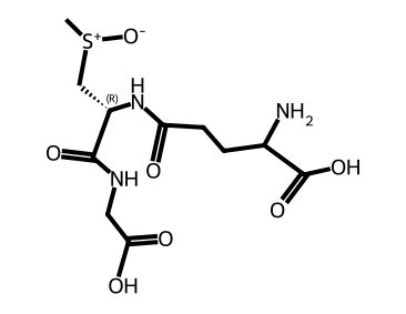 C[S+]([O-])C[C@H](NC(=O)CCC(N)C(=O)O)C(=O)NCC(=O)O